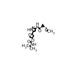 COC[C@H]1C[C@@H]1C(=O)Nc1cc(C2CC(OC(=O)NC(C)C)CO2)[nH]n1